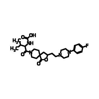 CC(C)C(NC(=O)O)C(=O)N1CCC2(CC1)CC(CCN1CCN(c3ccc(F)cc3)CC1)OC2=O